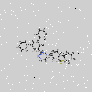 c1ccc(-c2cc(-c3ccccc3)cc(-c3nccc(-c4ccc5c(c4)sc4ccccc45)n3)c2)cc1